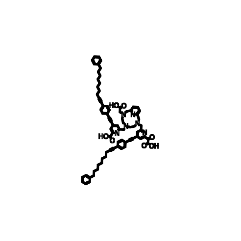 O=C(O)CN1CCN(Cc2cc(C#Cc3ccc(C#CCCCCCCCCc4ccccc4)cc3)cc(C(=O)O)n2)CCN(Cc2cc(C#Cc3ccc(C#CCCCCCCCCc4ccccc4)cc3)cc(C(=O)C(=O)O)n2)Cc2cccc(n2)C1